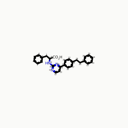 O=C(O)C(Cc1ccccc1)Nc1nccc(-c2ccc(CCc3ccccc3)cc2)n1